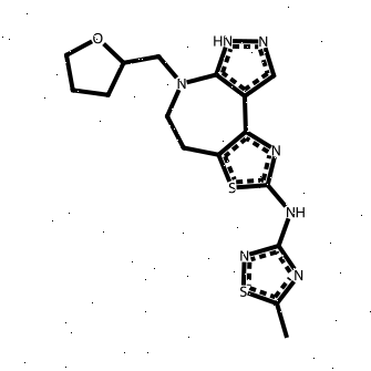 Cc1nc(Nc2nc3c(s2)CCN(CC2CCCO2)c2[nH]ncc2-3)ns1